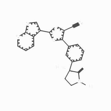 CN1CC[C@@](O)(c2cccc(-c3nc(-c4c[nH]c5ncccc45)sc3C#N)c2)C1=O